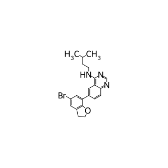 CC(C)CCNc1ncnc2ccc(-c3cc(Br)cc4c3OCC4)cc12